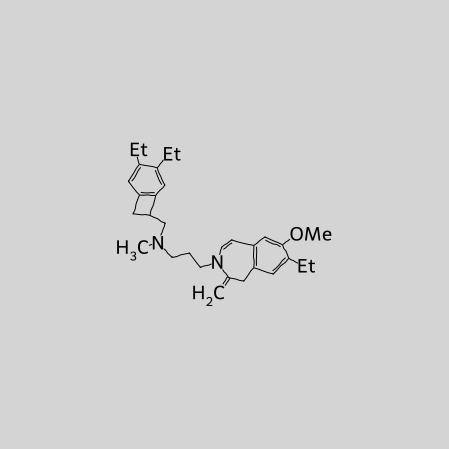 C=C1Cc2cc(CC)c(OC)cc2C=CN1CCCN(C)CC1Cc2cc(CC)c(CC)cc21